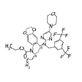 CCOC(=O)N1c2cc3c(cc2[C@@H](N(Cc2cc(C(F)(F)F)cc(C(F)(F)F)c2)c2ncc(N4CCOCC4)cn2)C[C@H]1CC)OCCO3